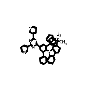 CC1(C)c2ccccc2-c2c1ccc1c3ccccc3n(C3=C(c4ccccc4)C=C(c4nc(-c5cccnc5)nc(-c5cccnc5)n4)CC3c3ccccc3)c21